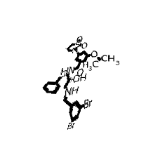 CC(C)Oc1cc(C(=O)N[C@@H](Cc2ccccc2)[C@H](O)CNCc2cc(Br)cc(Br)c2)cc(N2CCCS2(=O)=O)c1